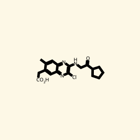 Cc1cc2nc(NCC(=O)C3CCCC3)c(Cl)nc2cc1CC(=O)O